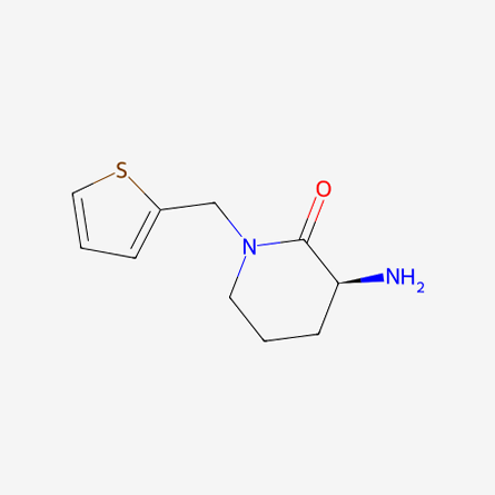 N[C@H]1CCCN(Cc2cccs2)C1=O